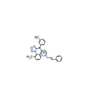 Cc1cccc(C)c1-n1nnnc1[C@@H](c1cccc(C#N)c1)N1CCN(C/C=C/c2ccccc2)CC1